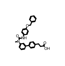 CN(C(=O)Nc1ccc(OCc2ccccc2)cc1)c1cccc(-c2ccc(CCC(=O)O)cc2)c1